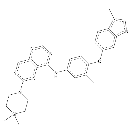 Cc1cc(Nc2ncnc3cnc(N4CC[Si](C)(C)CC4)nc23)ccc1Oc1ccc2c(c1)ncn2C